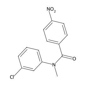 CN(C(=O)c1ccc([N+](=O)[O-])cc1)c1cccc(Cl)c1